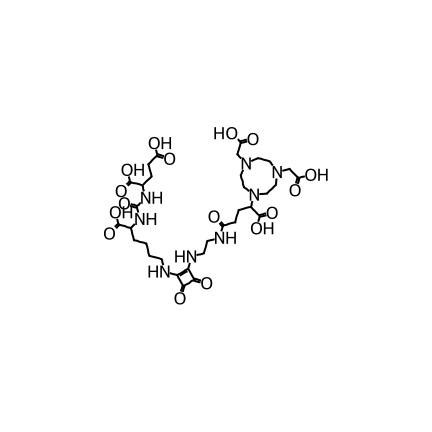 O=C(O)CCC(NC(=O)NC(CCCCNc1c(NCCNC(=O)CCC(C(=O)O)N2CCN(CC(=O)O)CCN(CC(=O)O)CC2)c(=O)c1=O)C(=O)O)C(=O)O